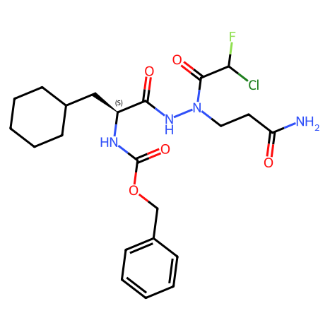 NC(=O)CCN(NC(=O)[C@H](CC1CCCCC1)NC(=O)OCc1ccccc1)C(=O)C(F)Cl